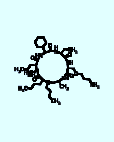 CCCC[C@H]1C(=O)N(C)[C@@H](CC(C)C)C(=O)NC(C2CCCCC2)C(=O)N[C@@H](CN)C(=O)N[C@@H](COCCCN)C(=O)N[C@H](C)CN1CCCC